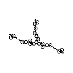 C=CC(=O)OCCCCCCOC1CCC(C(=O)Oc2ccc3c(c2)cc(Oc2ccc(OCCOCCOC(=O)C=C)cc2)c2cc(OC(=O)C4CCC(OCCCCCCOC(=O)C=C)CC4)ccc23)CC1